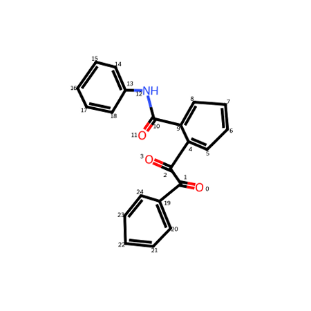 O=C(C(=O)c1ccccc1C(=O)Nc1ccccc1)c1ccccc1